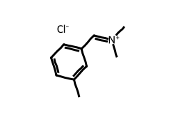 Cc1cccc(C=[N+](C)C)c1.[Cl-]